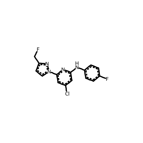 FCc1ccn(-c2cc(Cl)cc(Nc3ccc(F)cc3)n2)n1